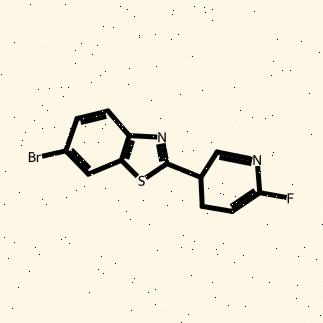 FC1=CCC(c2nc3ccc(Br)cc3s2)C=N1